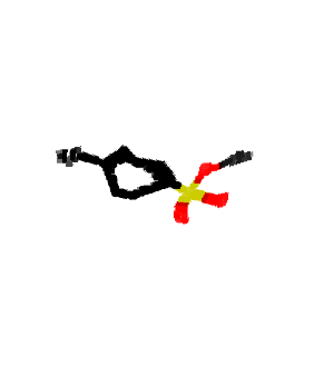 CCC[CH]OS(=O)(=O)c1ccc(C)cc1